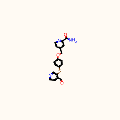 NC(=O)c1cc(COc2ccc(Sc3cnccc3C=O)cc2)ccn1